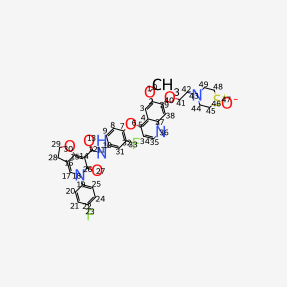 COc1cc2c(Oc3ccc(NC(=O)c4c5c(cn(-c6ccc(F)cc6)c4=O)CCO5)cc3F)ccnc2cc1OCCN1CC[S+]([O-])CC1